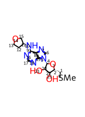 CSC[C@H]1O[C@@H](n2cnc3c(N[C@@H]4CCOC4)ncnc32)[C@H](O)[C@@H]1O